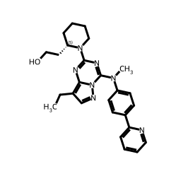 CCc1cnn2c(N(C)c3ccc(-c4ccccn4)cc3)nc(N3CCCC[C@H]3CCO)nc12